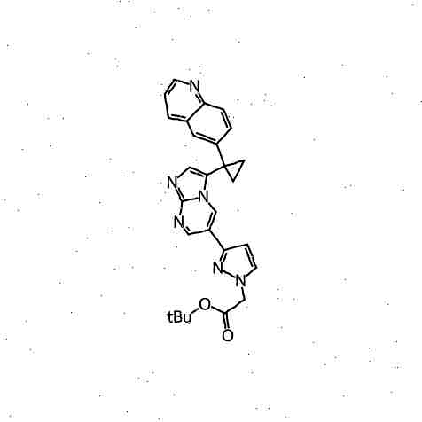 CC(C)(C)OC(=O)Cn1ccc(-c2cnc3ncc(C4(c5ccc6ncccc6c5)CC4)n3c2)n1